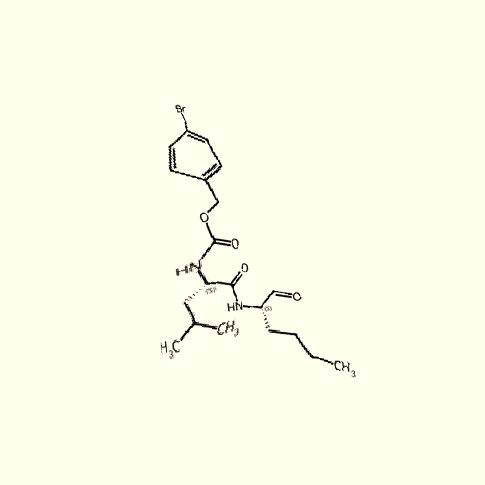 CCCC[C@@H](C=O)NC(=O)[C@H](CC(C)C)NC(=O)OCc1ccc(Br)cc1